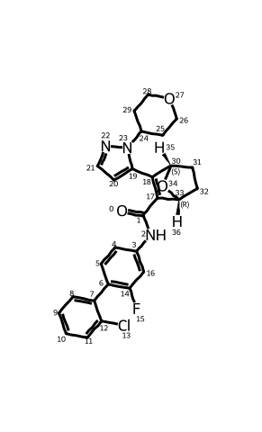 O=C(Nc1ccc(-c2ccccc2Cl)c(F)c1)C1=C(c2ccnn2C2CCOCC2)[C@@H]2CC[C@H]1O2